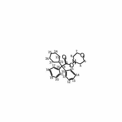 O=C(ON1CCOCC1)C(c1ccccc1)(c1ccccc1)C1CCCCC1